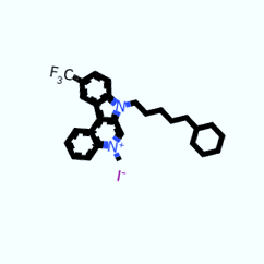 C[n+]1cc2c(c3cc(C(F)(F)F)ccc3n2CCCCCC2CCCCC2)c2ccccc21.[I-]